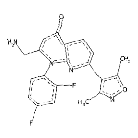 Cc1noc(C)c1-c1ccc2c(=O)cc(CN)n(-c3ccc(F)cc3F)c2n1